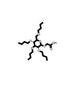 CCCCOCC1OC(OCC(=O)O)[C@H](OCCCC)C(OCCCC)[C@@H]1OCCCC